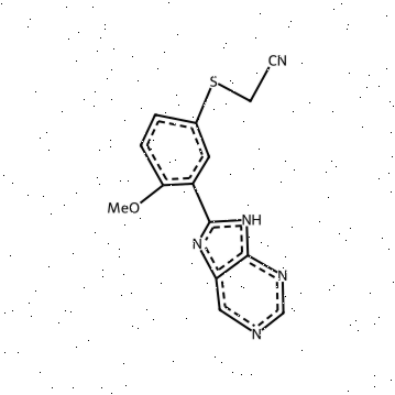 COc1ccc(SCC#N)cc1-c1nc2cncnc2[nH]1